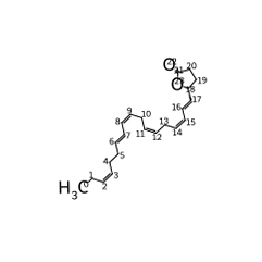 CC/C=C\CC/C=C/C=C\C/C=C\C/C=C\C=C\[C@@H]1CCC(=O)O1